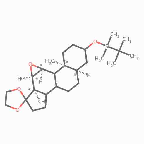 CC(C)(C)[Si](C)(C)OC1CC[C@]2(C)C3C(CC[C@@H]2C1)C1CCC2(OCCO2)[C@@]1(C)[C@H]1O[C@@H]31